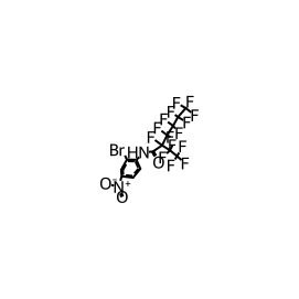 O=C(Nc1ccc([N+](=O)[O-])cc1Br)C(F)(C(F)(F)C(F)(F)F)C(F)(F)C(F)(F)C(F)(F)C(F)(F)F